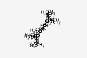 COc1cc(NC(=O)c2cc(F)c(C3=CCN(C(=NC(=O)OC(C)(C)C)NC(=O)OC(C)(C)C)CC3)cc2F)ccc1C1=CCN(C(=NC(=O)OC(C)(C)C)NC(=O)OC(C)(C)C)CC1